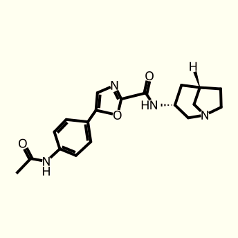 CC(=O)Nc1ccc(-c2cnc(C(=O)N[C@@H]3C[C@@H]4CCN(C4)C3)o2)cc1